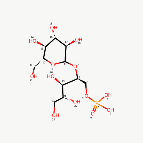 O=P(O)(O)OC[C@H](OC1O[C@H](CO)[C@@H](O)[C@H](O)[C@H]1O)[C@H](O)[C@H](O)CO